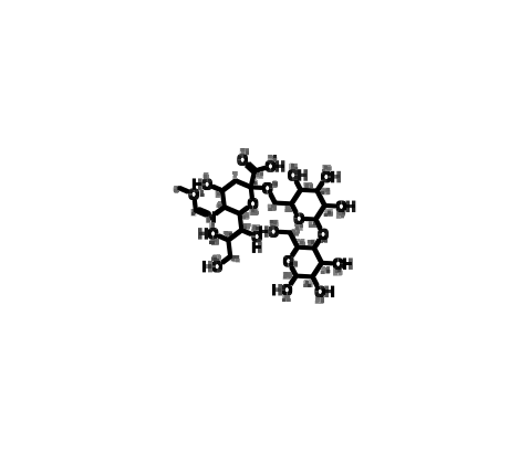 CO/C=N\C1C(O)CC(OCC2OC(OC3C(CO)OC(O)C(O)C3O)C(O)C(O)C2O)(C(=O)O)OC1C(O)C(O)CO